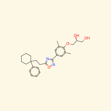 Cc1cc(-c2noc(CCC3(c4ccccc4)CCCCC3)n2)cc(C)c1OC[C@@H](O)CO